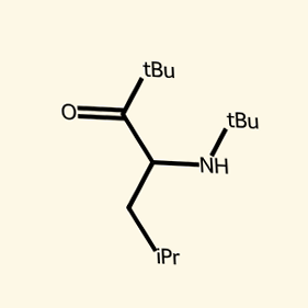 CC(C)CC(NC(C)(C)C)C(=O)C(C)(C)C